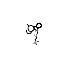 CC1Cc2c(n(COCC[Si](C)(C)C)c3ccccc23)C2CCCN1C2